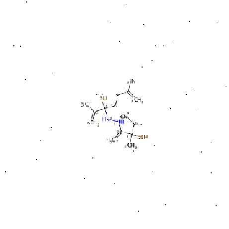 C=C(CCC(S)(NNC(=C)C(C)(S)CC(C)(C)C)C(=C)C#N)C(C)C